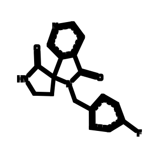 O=C1c2ccncc2C2(CCNC2=O)N1Cc1ccc(F)cc1